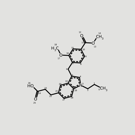 CCCn1cc(Cc2ccc(C(=O)OC)cc2OC)c2cc(CCC(=O)O)ccc21